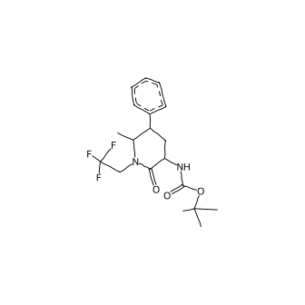 CC1C(c2ccccc2)CC(NC(=O)OC(C)(C)C)C(=O)N1CC(F)(F)F